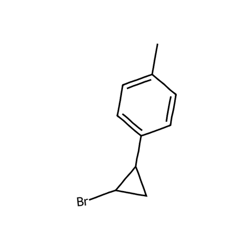 Cc1ccc(C2CC2Br)cc1